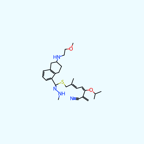 C=C(C#N)/C(=C\C=C(/C)CS/C(=N\NC)c1cccc2c1CCC(NCCOC)C2)OC(C)C